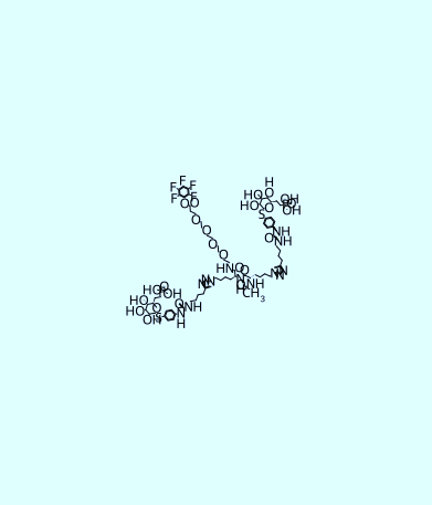 CC(=O)N[C@@H](CCCCn1cc(CCCCNC(=O)Nc2ccc(S[C@@H]3O[C@H](CCP(=O)(O)O)[C@@H](O)[C@H](O)[C@@H]3O)cc2)nn1)C(=O)N[C@@H](CCCCn1cc(CCCCNC(=O)Nc2ccc(S[C@@H]3O[C@H](CCP(=O)(O)O)[C@@H](O)[C@H](O)[C@@H]3O)cc2)nn1)C(=O)NCCOCCOCCOCCOCCC(=O)Oc1c(F)c(F)c(F)c(F)c1F